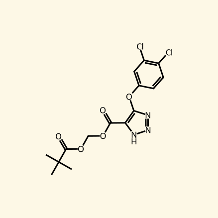 CC(C)(C)C(=O)OCOC(=O)c1[nH]nnc1Oc1ccc(Cl)c(Cl)c1